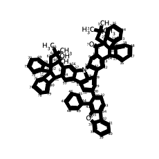 CC(C)(C)CC12C(=O)c3cc4c(cc3C3c5ccccc5C31c1ccccc12)c1cc(-c2ccc3c(oc5ccccc53)c2-c2ccccc2)cc2c3cc5c(cc3n4c12)C(O)C1(CC(C)(C)C)c2ccccc2C12c1ccccc1C52